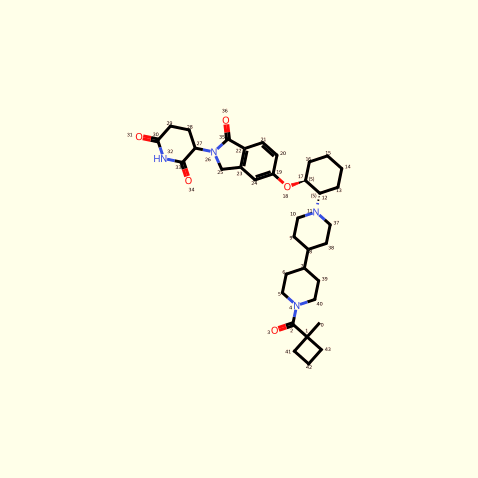 CC1(C(=O)N2CCC(C3CCN([C@H]4CCCC[C@@H]4Oc4ccc5c(c4)CN(C4CCC(=O)NC4=O)C5=O)CC3)CC2)CCC1